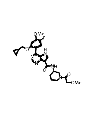 COCC(=O)N1CCC[C@@H](NC(=O)c2c[nH]c3c(-c4cc(F)c(OC)cc4OCC4CC4)ncnc23)C1